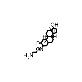 C[C@]12CC(F)C(=NOCCN)CC1CC[C@@H]1[C@H]2CC[C@]2(C)C(O)CC[C@@H]12